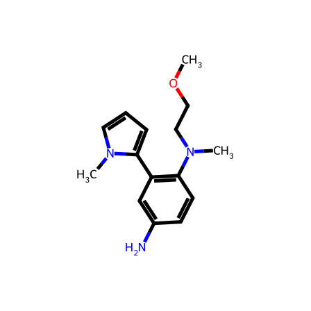 COCCN(C)c1ccc(N)cc1-c1cccn1C